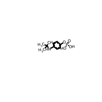 CC(C)(C)Nc1ccc(OP(=O)(O)O)cc1